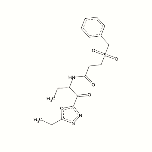 CCc1nnc(C(=O)[C@H](CC)NC(=O)[CH]CS(=O)(=O)Cc2ccccc2)o1